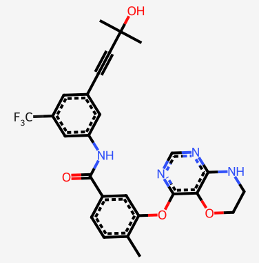 Cc1ccc(C(=O)Nc2cc(C#CC(C)(C)O)cc(C(F)(F)F)c2)cc1Oc1ncnc2c1OCCN2